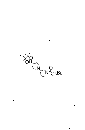 CC(C)(C)OC(=O)N1CCC[C@H](N2CC=C(B3OC(C)(C)C(C)(C)O3)CC2)C1